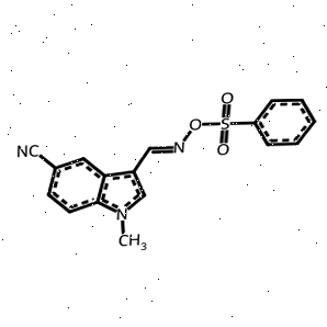 Cn1cc(/C=N/OS(=O)(=O)c2ccccc2)c2cc(C#N)ccc21